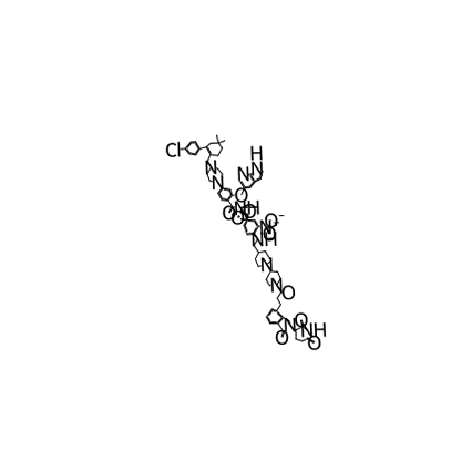 CC1(C)CCC(CN2CCN(c3ccc(C(=O)NS(=O)(=O)c4ccc(NCC5CCN(C6CCN(C(=O)CCc7cccc8c7CN(C7CCC(=O)NC7=O)C8=O)CC6)CC5)c([N+](=O)[O-])c4)c(Oc4cnc5[nH]ccc5c4)c3)CC2)=C(c2ccc(Cl)cc2)C1